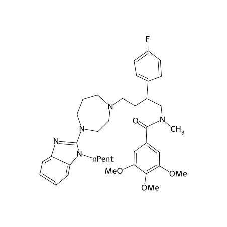 CCCCCn1c(N2CCCN(CCC(CN(C)C(=O)c3cc(OC)c(OC)c(OC)c3)c3ccc(F)cc3)CC2)nc2ccccc21